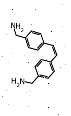 NCc1ccc(/C=C\c2ccc(CN)cc2)cc1